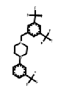 FC(F)(F)c1cccc(N2CCN(Cc3cc(C(F)(F)F)cc(C(F)(F)F)c3)CC2)c1